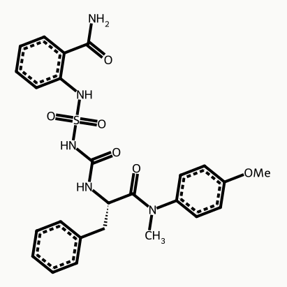 COc1ccc(N(C)C(=O)[C@H](Cc2ccccc2)NC(=O)NS(=O)(=O)Nc2ccccc2C(N)=O)cc1